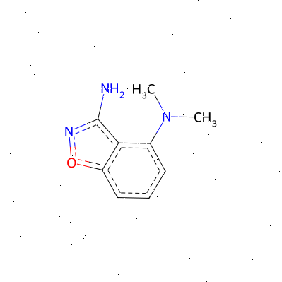 CN(C)c1cccc2onc(N)c12